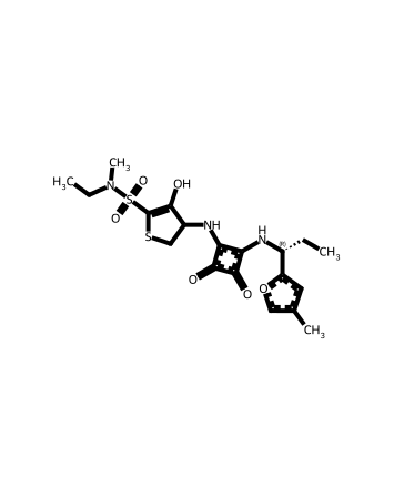 CC[C@@H](Nc1c(NC2CSC(S(=O)(=O)N(C)CC)=C2O)c(=O)c1=O)c1cc(C)co1